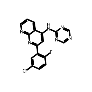 Fc1ccc(Cl)cc1-c1cc(Nc2ncncn2)c2cccnc2n1